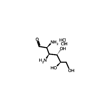 Cl.Cl.N[C@H]([C@H](O)[C@H](O)CO)[C@H](N)C=O